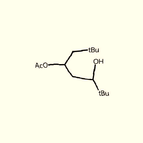 CC(=O)OC(CC(O)C(C)(C)C)CC(C)(C)C